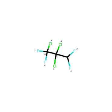 F[C](F)C(Cl)(Cl)C(F)(F)Cl